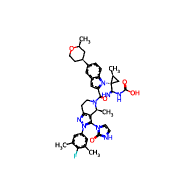 Cc1cc(-n2nc3c(c2-n2cc[nH]c2=O)[C@H](C)N(C(=O)c2cc4cc([C@H]5CCO[C@@H](C)C5)ccc4n2[C@@]2(C(=N)NC(=O)O)C[C@@H]2C)CC3)cc(C)c1F